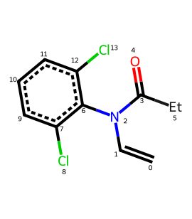 C=CN(C(=O)CC)c1c(Cl)cccc1Cl